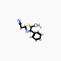 CC1SC(CC#N)=NC1c1ccccc1